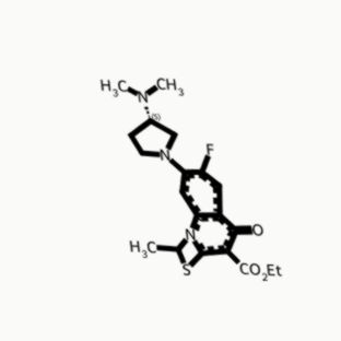 CCOC(=O)c1c2n(c3cc(N4CC[C@H](N(C)C)C4)c(F)cc3c1=O)C(C)S2